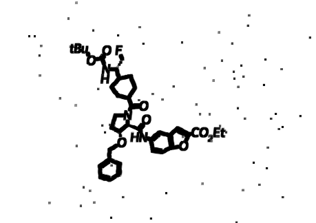 CCOC(=O)c1cc2cc(NC(=O)[C@H]3[C@H](OCc4ccccc4)CCN3C(=O)C3CCC([C@@H](CF)NC(=O)OC(C)(C)C)CC3)ccc2o1